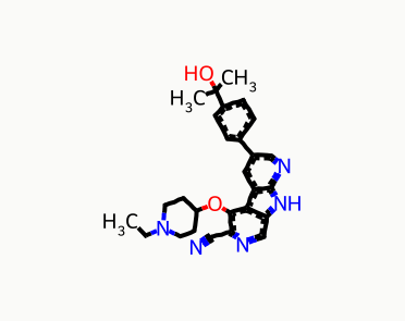 CCN1CCC(Oc2c(C#N)ncc3[nH]c4ncc(-c5ccc(C(C)(C)O)cc5)cc4c23)CC1